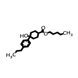 CCCCCOC(=O)C1CCC(O)(c2ccc(CCC)cc2)CC1